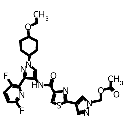 CCOC1CCC(n2cc(NC(=O)c3csc(-c4cnn(COC(C)=O)c4)n3)c(-c3nc(F)ccc3F)n2)CC1